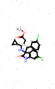 COC(=O)CC[C@H](c1cccc(Cl)c1)C1(NCC2CC2)C(=O)Nc2cc(Cl)ccc21